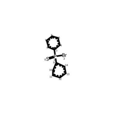 S=P(Br)(c1ccccc1)c1ccccc1